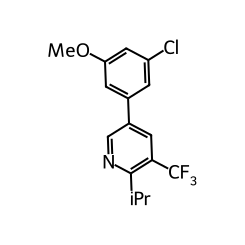 COc1cc(Cl)cc(-c2cnc(C(C)C)c(C(F)(F)F)c2)c1